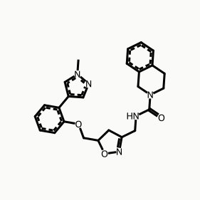 Cn1cc(-c2ccccc2OCC2CC(CNC(=O)N3CCc4ccccc4C3)=NO2)cn1